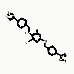 Clc1cc(NCc2ccc(-c3csnn3)cc2)cc(Cl)c1NCc1ccc(-c2csnn2)cc1